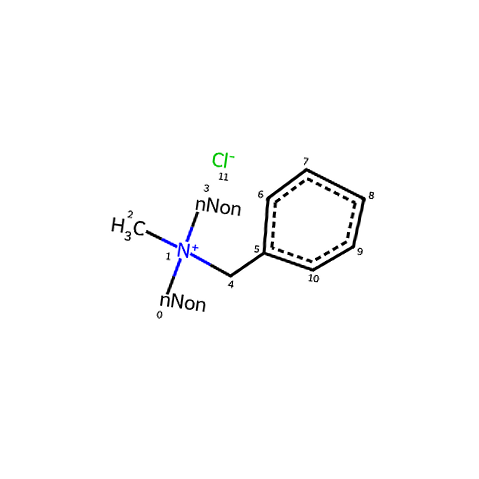 CCCCCCCCC[N+](C)(CCCCCCCCC)Cc1ccccc1.[Cl-]